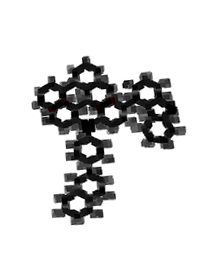 c1ccc(-c2cccc3cccc(-c4ccccc4N(c4ccc(-c5ccc6ccccc6c5)cc4)c4ccc(-c5cccc6sc7ccccc7c56)cc4)c23)cc1